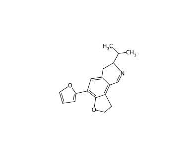 CC(C)C1Cc2cc(-c3ccco3)c3c(c2C=N1)CCO3